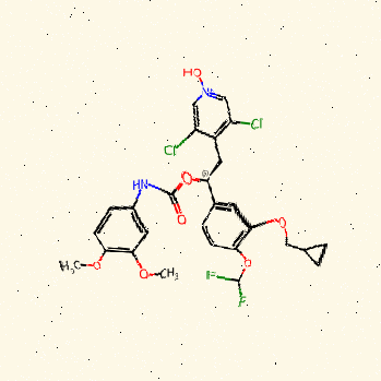 COc1ccc(NC(=O)O[C@@H](Cc2c(Cl)c[n+](O)cc2Cl)c2ccc(OC(F)F)c(OCC3CC3)c2)cc1OC